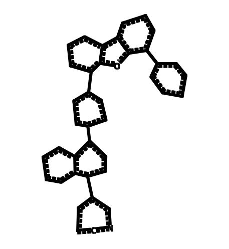 c1ccc(-c2cccc3c2oc2c(-c4ccc(-c5ccc(-c6cccnc6)c6ccccc56)cc4)cccc23)cc1